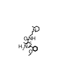 C=C(S/C(C(=O)NCCCN1CCCCC1C)=C(/C)N)c1ccccc1OCC